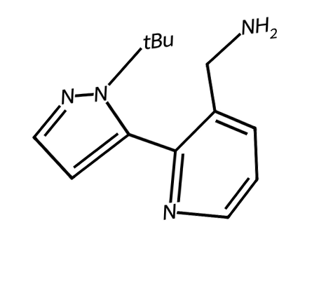 CC(C)(C)n1nccc1-c1ncccc1CN